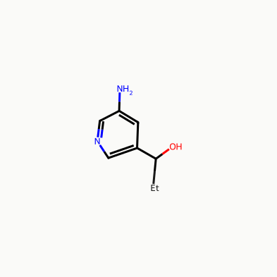 CCC(O)c1cncc(N)c1